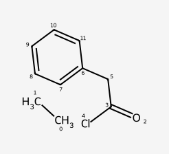 CC.O=C(Cl)Cc1ccccc1